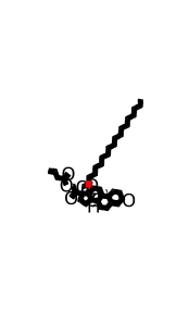 C=CCC(=O)OCC(=O)[C@@]1(OC(=O)CCCCCCCCCCCCCCCCC)CC[C@H]2[C@@H]3CCC4=CC(=O)CC[C@]4(C)C3=CC[C@@]21C